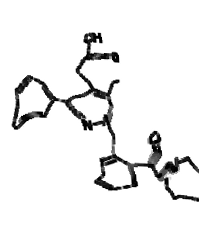 Cc1c(CC(=O)O)c(-c2ccccc2)nn1Cc1ccccc1C(=O)N1CCCCC1